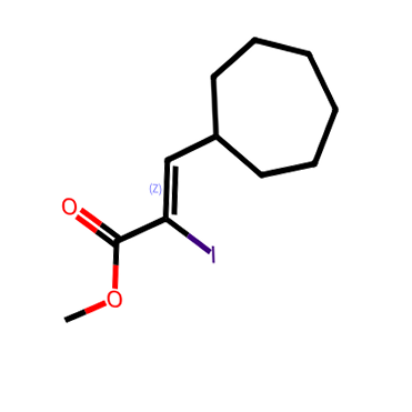 COC(=O)/C(I)=C/C1CCCCCC1